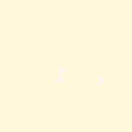 CC(C)Cn1cc(-c2ccncc2)c(-c2c(F)cccc2F)n1